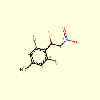 Cc1cc(Cl)c(C(O)C[N+](=O)[O-])c(Cl)c1